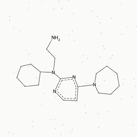 NCCN(c1nccc(N2CCCCCC2)n1)C1CCCCC1